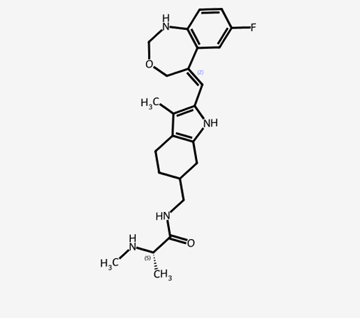 CN[C@@H](C)C(=O)NCC1CCc2c([nH]c(/C=C3\COCNc4ccc(F)cc43)c2C)C1